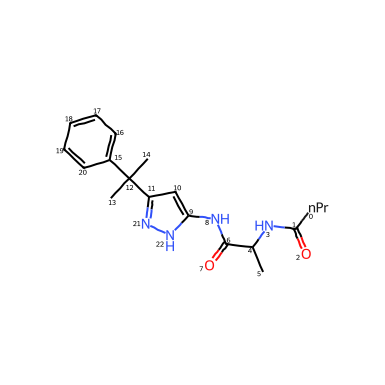 CCCC(=O)NC(C)C(=O)Nc1cc(C(C)(C)c2ccccc2)n[nH]1